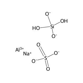 O=S(=O)([O-])[O-].[Al+3].[Na+].[O-][Si]([O-])(O)O